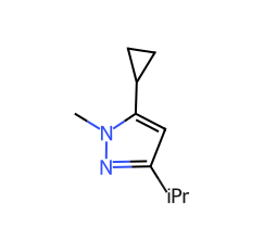 CC(C)c1cc(C2CC2)n(C)n1